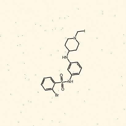 O=S(=O)(Nc1cccc(NC2CCN(CI)CC2)c1)c1ccccc1Br